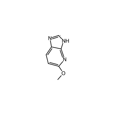 COc1ccc2n[c][nH]c2n1